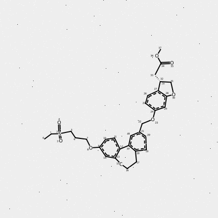 CCS(=O)(=O)CCCOc1ccc2c(c1)CCCc1ccc(COc3ccc4c(c3)OC[C@H]4CC(=O)OC)cc1-2